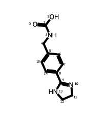 O=C(O)NCc1ccc(C2=NCCN2)cc1